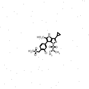 CN(C)S(=O)(=O)n1nc(C2CC2)c2[nH]c(C(=O)O)c(-c3ccc(CS(C)(=O)=O)c(Cl)c3)c21